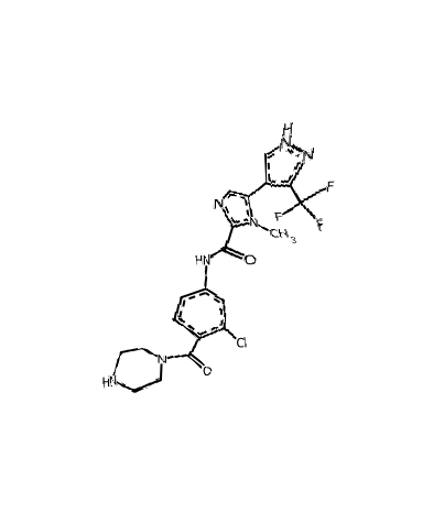 Cn1c(-c2c[nH]nc2C(F)(F)F)cnc1C(=O)Nc1ccc(C(=O)N2CCNCC2)c(Cl)c1